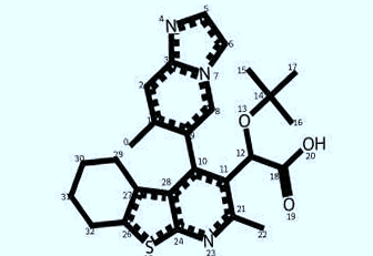 Cc1cc2nccn2cc1-c1c(C(OC(C)(C)C)C(=O)O)c(C)nc2sc3c(c12)CCCC3